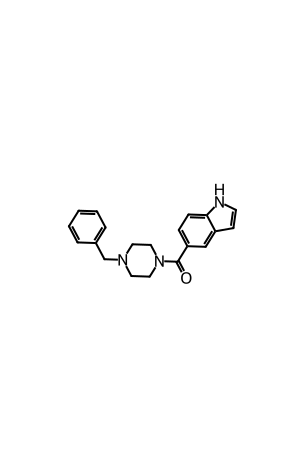 O=C(c1ccc2[nH]ccc2c1)N1CCN(Cc2ccccc2)CC1